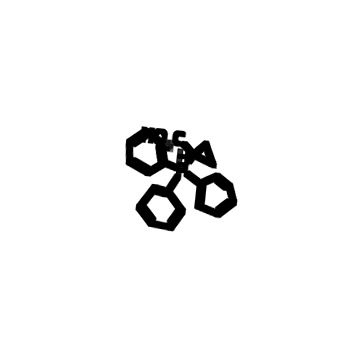 O=C(O)C1([PH](c2ccccc2)(c2ccccc2)c2ccccc2)CC1